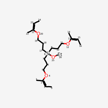 C/C=C(/C)OCCC[Si](CCCO/C(C)=C\C)(CCCO/C(C)=C\C)OCC